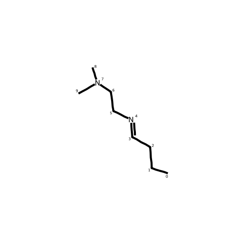 CCCC=NCCN(C)C